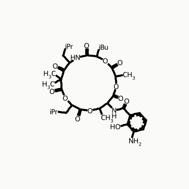 CCC(C)C1OC(=O)C(C)OC(=O)C(NC(=O)c2cccc(N)c2O)C(C)OC(=O)C(CC(C)C)OC(=O)C(C)(C)C(=O)C(CC(C)C)NC1=O